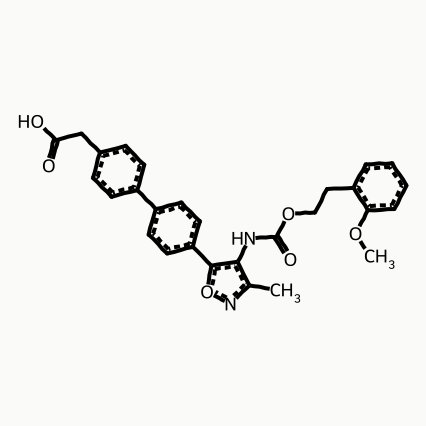 COc1ccccc1CCOC(=O)Nc1c(C)noc1-c1ccc(-c2ccc(CC(=O)O)cc2)cc1